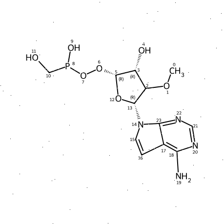 COC1[C@@H](O)[C@@H](OOP(O)CO)O[C@H]1n1ccc2c(N)ncnc21